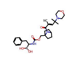 CC(C)(C=C(C#N)C(=O)N1C2CCC1(COC(=O)NC(Cc1ccccc1)B(O)O)CC2)N1CCOCC1